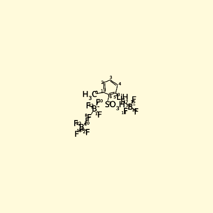 Cc1ccccc1S(=O)(=O)O.F[B-](F)(F)F.F[B-](F)(F)F.F[B-](F)(F)F.[LiH]